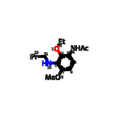 CCOc1c(NC(C)=O)ccc(OC)c1NCC(C)C